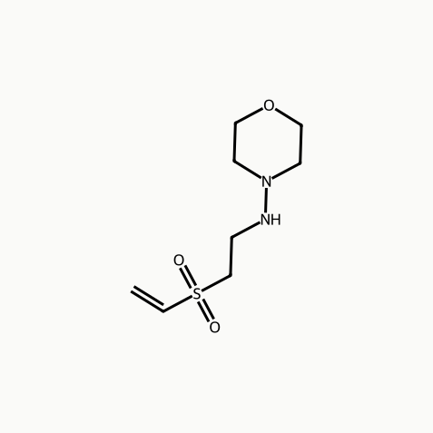 C=CS(=O)(=O)CCNN1CCOCC1